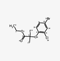 CCOC(=O)C(F)(F)Oc1ccc(Br)cc1Cl